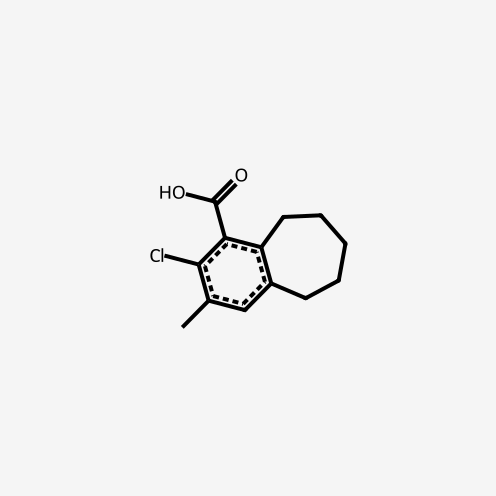 Cc1cc2c(c(C(=O)O)c1Cl)CCCCC2